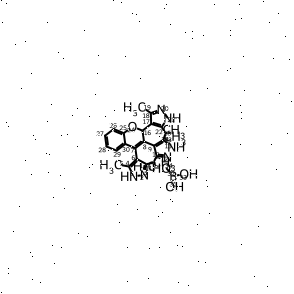 Cc1n[nH]c(C)c1C1=C(c2c(C)n[nH]c2C)C(c2c(C)n[nH]c2C)Oc2ccccc21.OB(O)O